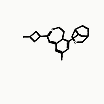 CC1=CC2=CC(C3CC(C)C3)=NCCC2C(C2CC3CCC2COC3)=C1